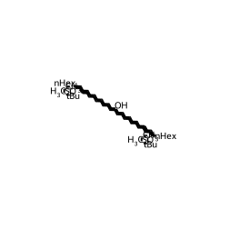 CCCCCC[C@H](CC=CCCCCCCCC(O)CCCCCCCC=CC[C@@H](CCCCCC)O[Si](C)(C)C(C)(C)C)O[Si](C)(C)C(C)(C)C